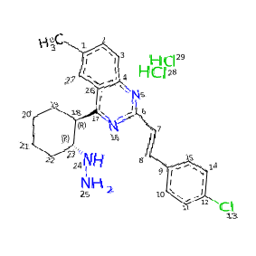 Cc1ccc2nc(C=Cc3ccc(Cl)cc3)nc([C@@H]3CCCC[C@H]3NN)c2c1.Cl.Cl